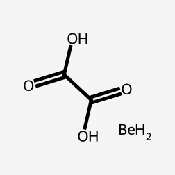 O=C(O)C(=O)O.[BeH2]